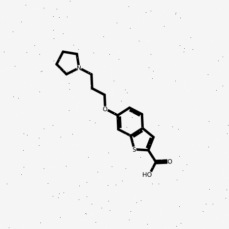 O=C(O)c1cc2ccc(OCCCN3CCCC3)cc2s1